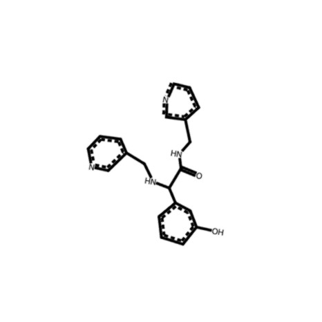 O=C(NCc1cccnc1)C(NCc1cccnc1)c1cccc(O)c1